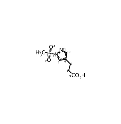 CS(=O)(=O)n1cc(CCC(=O)O)cn1